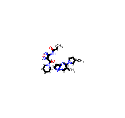 CCC(=O)Nc1nonc1C(=O)N1CCCC[C@H]1c1cc2nc(N3CC[C@H](C)C3)c(C)cn2n1